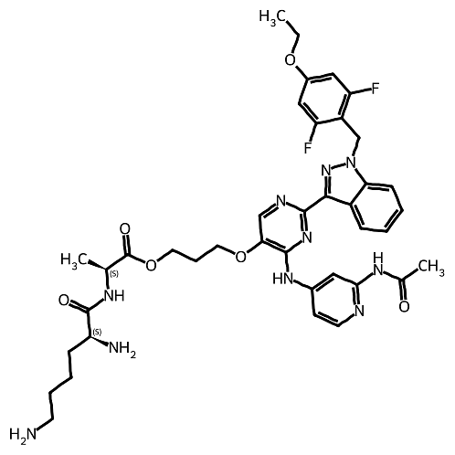 CCOc1cc(F)c(Cn2nc(-c3ncc(OCCCOC(=O)[C@H](C)NC(=O)[C@@H](N)CCCCN)c(Nc4ccnc(NC(C)=O)c4)n3)c3ccccc32)c(F)c1